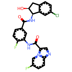 O=C(N[C@@H]1c2cc(Cl)ccc2C[C@@H]1O)c1ccc(F)c(NC(=O)c2cnc3ccc(F)cn23)c1